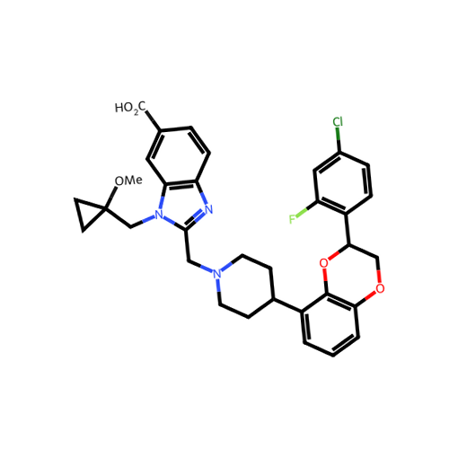 COC1(Cn2c(CN3CCC(c4cccc5c4OC(c4ccc(Cl)cc4F)CO5)CC3)nc3ccc(C(=O)O)cc32)CC1